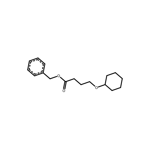 O=C(CCCOC1CCCCC1)OCc1ccccc1